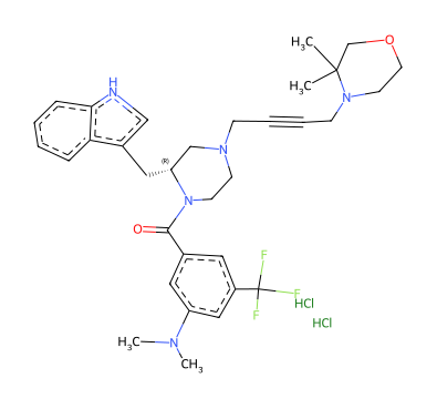 CN(C)c1cc(C(=O)N2CCN(CC#CCN3CCOCC3(C)C)C[C@H]2Cc2c[nH]c3ccccc23)cc(C(F)(F)F)c1.Cl.Cl